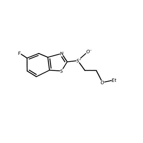 CCOCC[S+]([O-])c1nc2cc(F)ccc2s1